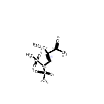 CCOC(=O)/C(=C\N(S(C)(=O)=O)S(C)(=O)=O)C(=O)C(F)(F)F